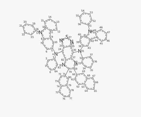 c1ccc(N(c2ccc3c(c2)c2ccccc2n3-c2ccccc2)c2c3nsnc3c(N(c3ccccc3)c3ccc4c(c3)c3ccccc3n4-c3ccccc3)c3nc(-c4ccc5ccccc5c4)c(-c4ccc5ccccc5c4)nc23)cc1